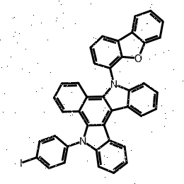 Ic1ccc(-n2c3ccccc3c3c4c5ccccc5n(-c5cccc6c5oc5ccccc56)c4c4ccccc4c32)cc1